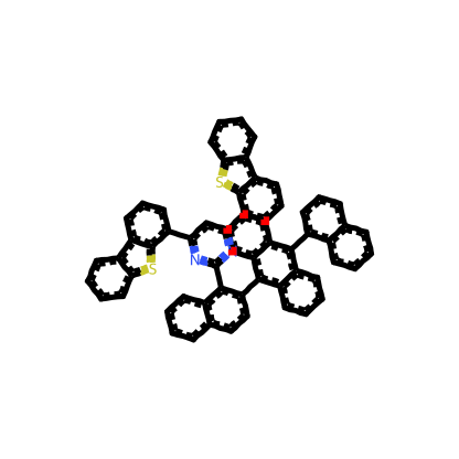 c1ccc2c(-c3c4ccccc4c(-c4ccc5ccccc5c4-c4nc(-c5cccc6c5sc5ccccc56)cc(-c5cccc6c5sc5ccccc56)n4)c4ccccc34)cccc2c1